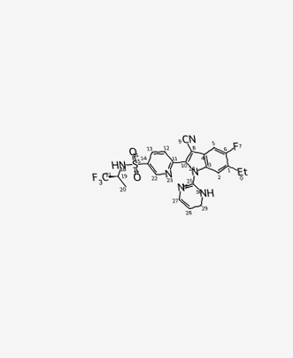 CCc1cc2c(cc1F)c(C#N)c(-c1ccc(S(=O)(=O)N[C@@H](C)C(F)(F)F)cn1)n2C1=NC=CCN1